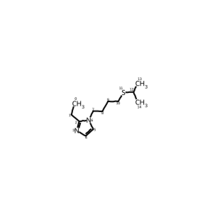 CCc1nccn1CCCCSC(C)C